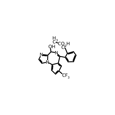 CC(=O)O.OC1N=C(c2ccccc2Cl)c2cc(C(F)(F)F)ccc2-n2ccnc21